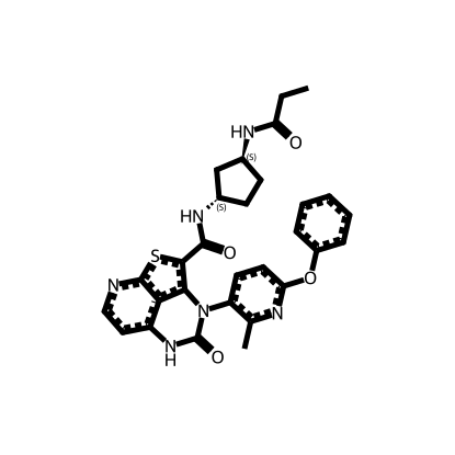 CCC(=O)N[C@H]1CC[C@H](NC(=O)c2sc3nccc4c3c2N(c2ccc(Oc3ccccc3)nc2C)C(=O)N4)C1